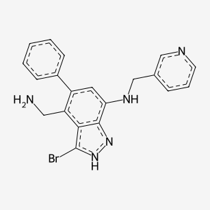 NCc1c(-c2ccccc2)cc(NCc2cccnc2)c2n[nH]c(Br)c12